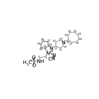 CS(=O)(=O)NCCn1c(=NC#N)n(C2CCN(C3CCCCCCC3)CC2)c2ccccc21